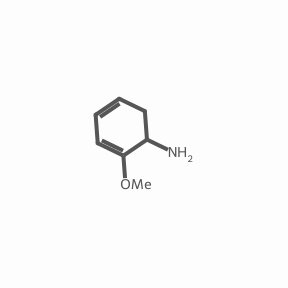 COC1=CC=CCC1N